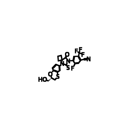 N#Cc1cc(F)c(N2C(=O)C3(CCC3)N(c3ccc4c(c3)SC[C@H](CO)O4)C2=S)cc1C(F)(F)F